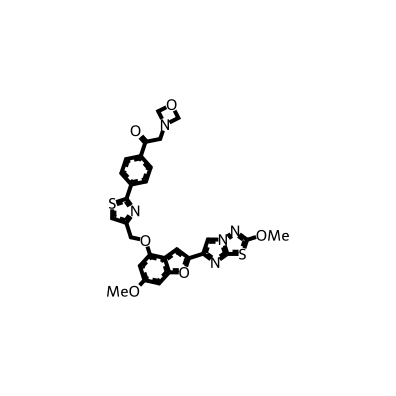 COc1cc(OCc2csc(-c3ccc(C(=O)CN4COC4)cc3)n2)c2cc(-c3cn4nc(OC)sc4n3)oc2c1